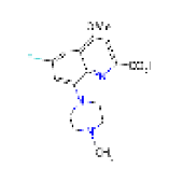 COc1cc(C(=O)O)nc2c(N3CCN(C)CC3)cc(F)cc12